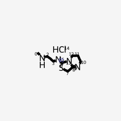 CNCC/N=C1\SCC2=NCCCN21.Cl